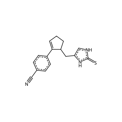 N#Cc1ccc(C2=CCCC2Cc2c[nH]c(=S)[nH]2)cc1